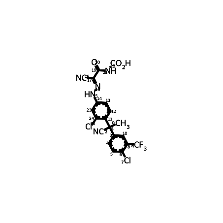 CC(C#N)(c1ccc(Cl)c(C(F)(F)F)c1)c1ccc(N/N=C(\C#N)C(=O)NC(=O)O)cc1Cl